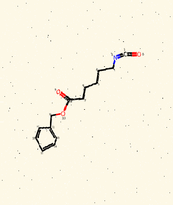 O=C=NCCCCCC(=O)OCc1ccccc1